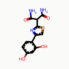 NC(=O)C(C(N)=O)c1nc(-c2ccc(O)cc2O)cs1